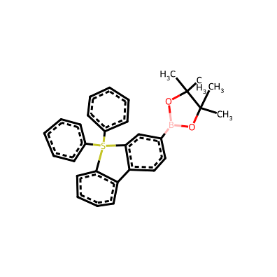 CC1(C)OB(c2ccc3c(c2)S(c2ccccc2)(c2ccccc2)c2ccccc2-3)OC1(C)C